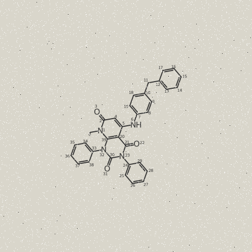 Cn1c(=O)cc(Nc2ccc(Cc3ccccc3)cc2)c2c(=O)n(-c3ccccc3)c(=O)n(-c3ccccc3)c21